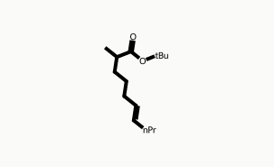 CCCC=CCCCC(C)C(=O)OC(C)(C)C